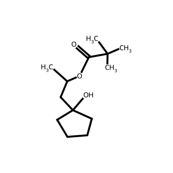 CC(CC1(O)CCCC1)OC(=O)C(C)(C)C